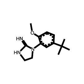 COc1ccc(C(C)(C)C)cc1N1CCNC1=N